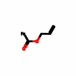 C=CCO[C](=O)[Fe]